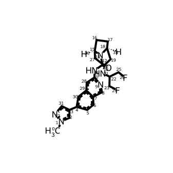 Cn1cc(-c2ccc3cnc(NC(=O)N4[C@@H]5CC[C@H]4C[C@H](NC(CF)CF)C5)cc3c2)cn1